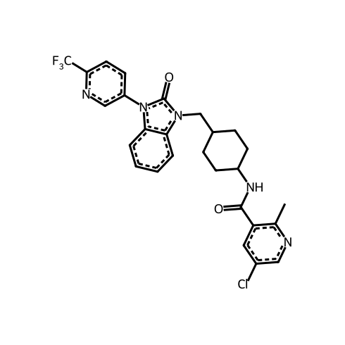 Cc1ncc(Cl)cc1C(=O)NC1CCC(Cn2c(=O)n(-c3ccc(C(F)(F)F)nc3)c3ccccc32)CC1